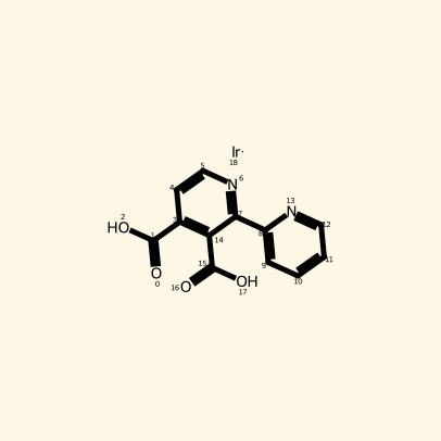 O=C(O)c1ccnc(-c2ccccn2)c1C(=O)O.[Ir]